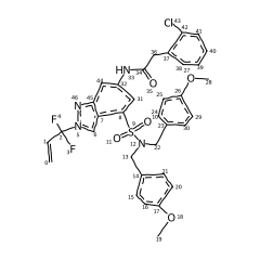 C=CC(F)(F)n1cc2c(S(=O)(=O)N(Cc3ccc(OC)cc3)Cc3ccc(OC)cc3)cc(NC(=O)Cc3ccccc3Cl)cc2n1